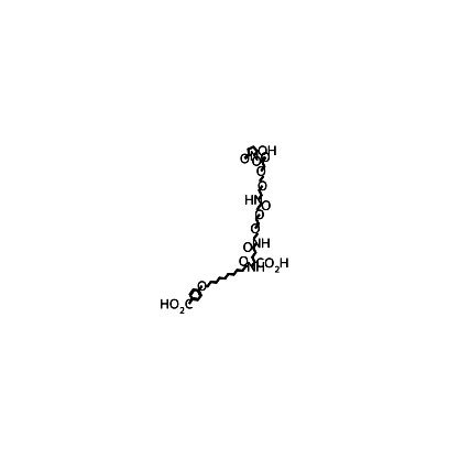 O=C(CC[C@H](NC(=O)CCCCCCCCCOc1ccc(C(=O)O)cc1)C(=O)O)NCCOCCOCC(=O)NCCOCCOCC(=O)ON1C(=O)CCC1O